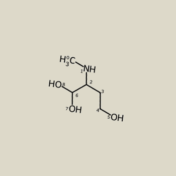 CNC(CCO)C(O)O